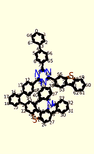 c1ccc(-c2ccc(-c3nc(-c4ccc(-c5ccccc5-c5cc6sc7ccc8c9ccccc9n9c%10ccccc%10c(c5)c6c7c89)cc4)nc(-c4ccc5c(c4)sc4ccccc45)n3)cc2)cc1